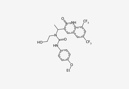 CCOc1ccc(NC(=O)N(CCO)C(C)c2cc3cc(C(F)(F)F)cc(C(F)(F)F)c3[nH]c2=O)cc1